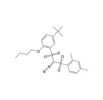 CCCCOc1ccc(C(C)(C)C)cc1S(=O)(=O)C(=[N+]=[N-])S(=O)(=O)c1ccc(C)cc1C